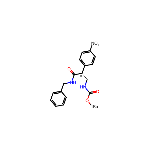 CC(C)(C)OC(=O)NC[C@H](C(=O)NCc1ccccc1)c1ccc([N+](=O)[O-])cc1